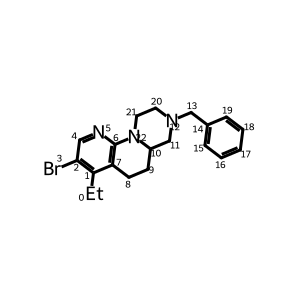 CCc1c(Br)cnc2c1CCC1CN(Cc3ccccc3)CCN21